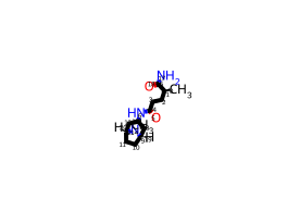 C[C@@H](C[CH]C(=O)NC1C[C@H]2CC[C@@H](C1)N2C)C(N)=O